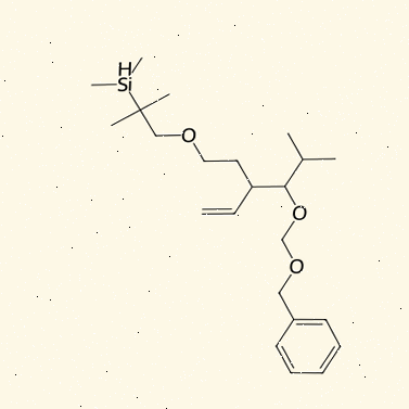 C=CC(CCOCC(C)(C)[SiH](C)C)C(OCOCc1ccccc1)C(C)C